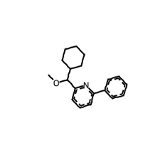 COC(c1cccc(-c2ccccc2)n1)C1CCCCC1